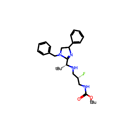 CC(C)(C)OC(=O)NC[C@@H](F)CN[C@@H](C1=NC(c2ccccc2)CN1Cc1ccccc1)C(C)(C)C